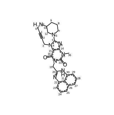 CC#CCn1c(N2CCCC(N)C2)nc2c1c(=O)n(CC1=Nc3cccc4cccc(c34)N1)c(=O)n2C